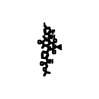 Cc1c(=O)n(C)c(Nc2ccc(I)cc2F)c2c(=O)n(C3CC3)c(=O)n(-c3cccc(NC(=O)COC(C)C)c3)c12